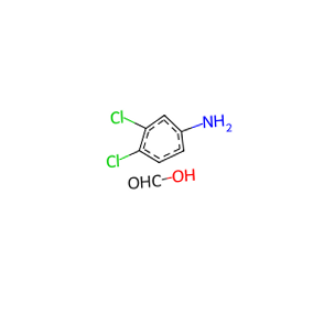 Nc1ccc(Cl)c(Cl)c1.O=CO